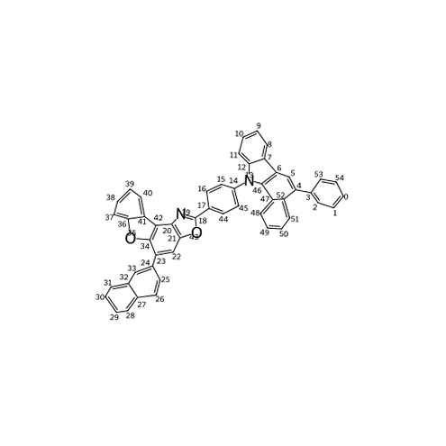 c1ccc(-c2cc3c4ccccc4n(-c4ccc(-c5nc6c(cc(-c7ccc8ccccc8c7)c7oc8ccccc8c76)o5)cc4)c3c3ccccc23)cc1